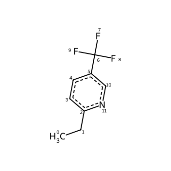 CCc1ccc(C(F)(F)F)cn1